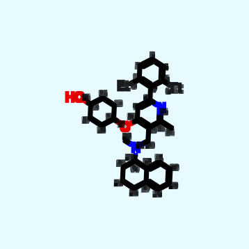 CCc1cccc(CC)c1-c1cc(OC2CCC(O)CC2)c(CN(C)[C@H]2CCCc3ccccc32)c(C)n1